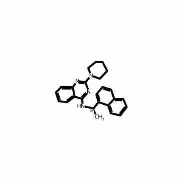 C[C@@H](Nc1nc(N2CCCCC2)nc2ccccc12)c1cccc2ccccc12